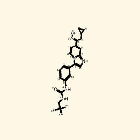 O=C(NCC(F)(F)F)Nc1cccc(-c2cnc3cc(C(CC4CC4)=NO)ccn23)c1